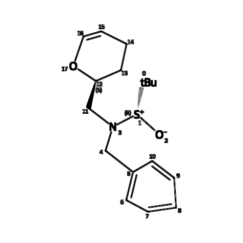 CC(C)(C)[S@+]([O-])N(Cc1ccccc1)C[C@@H]1CCC=CO1